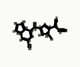 COC(=O)c1cc(Nc2cc(Cl)cn3ccnc23)nn1C